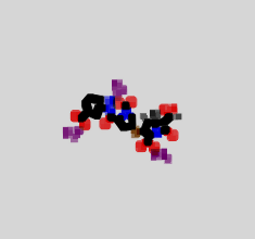 C[C@@H](O)[C@H]1C(=O)N2C(C(=O)OP)=C(S[C@H]3C[C@@H](C(=O)Nc4cccc(C(=O)OP)c4)N(C(=O)OP)C3)[C@H](C)[C@H]12